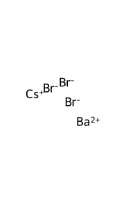 [Ba+2].[Br-].[Br-].[Br-].[Cs+]